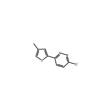 Cc1csc(-c2ccc(Cl)nn2)c1